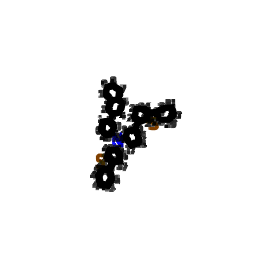 c1cc(-c2ccc3ccccc3c2)cc(N(c2cccc(-c3cccc4c3sc3ccccc34)c2)c2ccc3c(c2)sc2ccccc23)c1